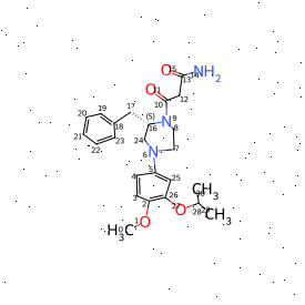 COc1ccc(N2CCN(C(=O)CC(N)=O)[C@@H](Cc3ccccc3)C2)cc1OC(C)C